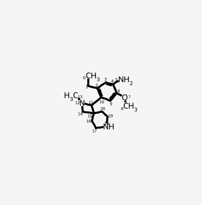 CCc1cc(N)c(OC)cc1C1N(C)CC12CCNCC2